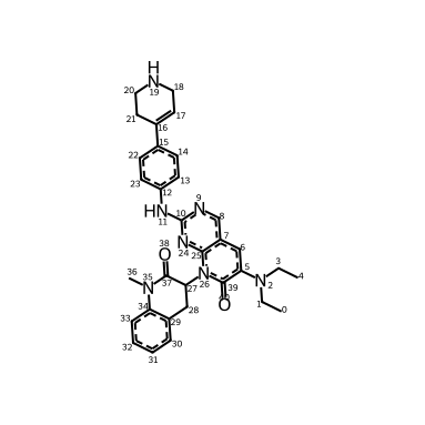 CCN(CC)c1cc2cnc(Nc3ccc(C4=CCNCC4)cc3)nc2n(C2Cc3ccccc3N(C)C2=O)c1=O